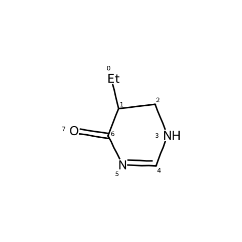 CCC1CNC=NC1=O